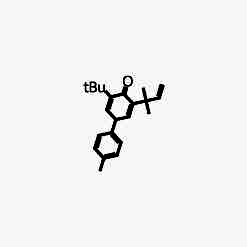 C=CC(C)(C)C1=CC(c2ccc(C)cc2)C=C(C(C)(C)C)C1=O